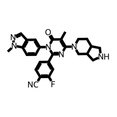 Cc1c(N2CCC3CNCC3C2)nc(-c2ccc(C#N)c(F)c2)n(-c2ccc3c(cnn3C)c2)c1=O